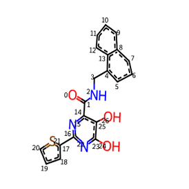 O=C(NCc1cccc2ccccc12)c1nc(-c2cccs2)nc(O)c1O